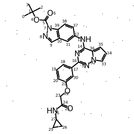 CC(C)(C)OC(=O)n1ncc2cc(Nc3nc(-c4cccc(OCC(=O)NC5CC5)c4)nn4cccc34)ccc21